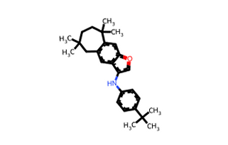 CC1(C)CCC(C)(C)c2cc3occ(Nc4ccc(C(C)(C)C)cc4)c3cc2C1